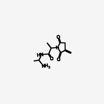 C=C1CC(=O)N(C(C)C(=O)NC(C)N)C1=O